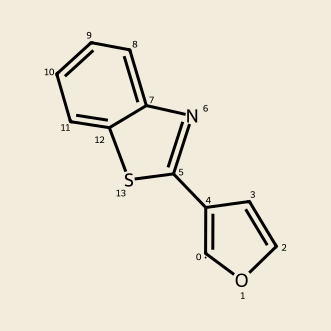 [c]1occc1-c1nc2ccccc2s1